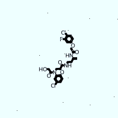 C=C(CCNC(=O)C1CN(C(=O)CO)c2cc(Cl)ccc2O1)NC(=O)COc1ccc(Cl)c(F)c1